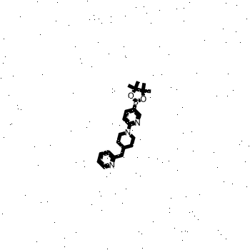 CC1(C)OB(c2ccc(N3CCC(Cc4ccccn4)CC3)nc2)OC1(C)C